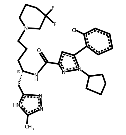 Cc1nnc(C[C@H](CCCN2CCCC(F)(F)C2)NC(=O)c2cc(-c3ccccc3Cl)n(C3CCCC3)n2)[nH]1